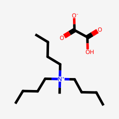 CCCC[N+](C)(CCCC)CCCC.O=C([O-])C(=O)O